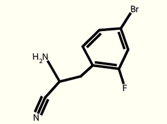 N#CC(N)Cc1ccc(Br)cc1F